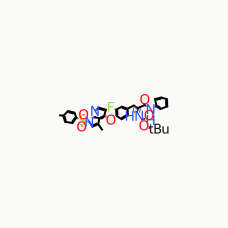 Cc1ccc(S(=O)(=O)n2cc(C)c3c(Oc4ccc(C[C@H](NC(=O)OC(C)(C)C)C(=O)Nc5ccccc5)cc4F)ccnc32)cc1